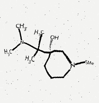 CSN1CCC[C@@](O)(C(C)(C)N(C)C)C1